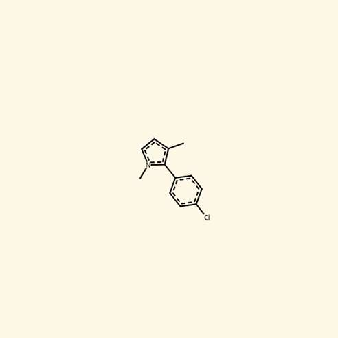 Cc1[c]cn(C)c1-c1ccc(Cl)cc1